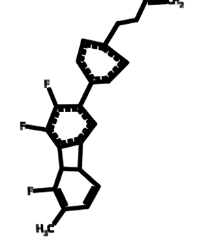 C=CCCc1ccc(-c2cc3c(c(F)c2F)C2C(F)=C(C)C=CC32)cc1